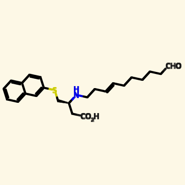 O=CCCCCC/C=C/CCN[C@H](CSc1ccc2ccccc2c1)CC(=O)O